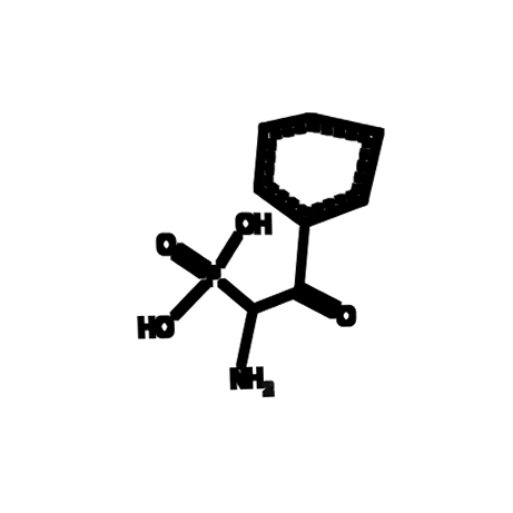 NC(C(=O)c1ccccc1)P(=O)(O)O